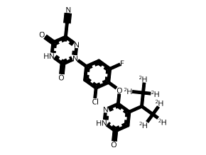 [2H]C([2H])([2H])C(c1cc(=O)[nH]nc1Oc1c(F)cc(-n2nc(C#N)c(=O)[nH]c2=O)cc1Cl)C([2H])([2H])[2H]